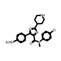 CC(=O)Nc1ccc(-c2oc(C3CCNCC3)nc2C(=O)N(C)c2ccc(Cl)cc2)cc1